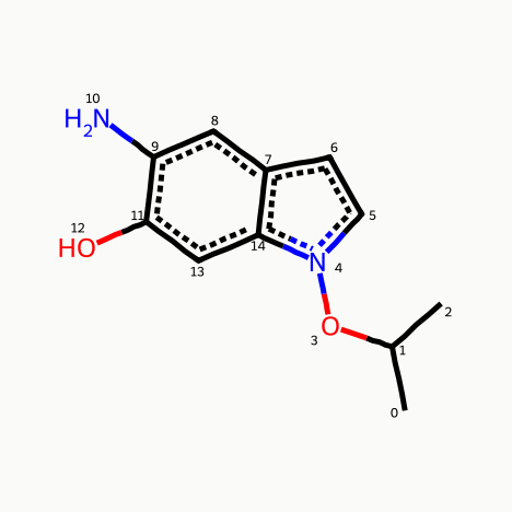 CC(C)On1ccc2cc(N)c(O)cc21